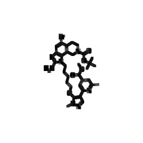 COC(=O)c1cc(C)nc(-c2cnn(C)c2OCCCCCn2c(N)nc3cc(Br)c4c(c32)CN(C(=O)OC(C)(C)C)CC4)c1